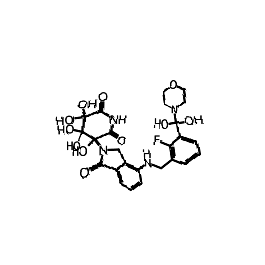 O=C1c2cccc(NCc3cccc(C(O)(O)N4CCOCC4)c3F)c2CN1C1(O)C(=O)NC(=O)C(O)(O)C1(O)O